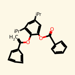 C=C(Oc1c(OC(=O)c2ccccc2)cc(C(C)C)cc1C(C)C)c1ccccc1